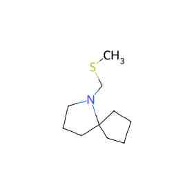 CSCN1CCCC12CCCC2